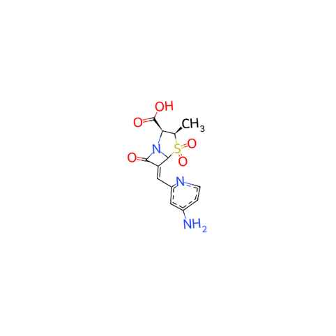 C[C@@H]1[C@H](C(=O)O)N2C(=O)/C(=C/c3cc(N)ccn3)C2S1(=O)=O